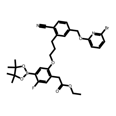 CCOC(=O)Cc1cc(F)c(B2OC(C)(C)C(C)(C)O2)cc1OCCCc1cc(COc2cccc(Br)n2)ccc1C#N